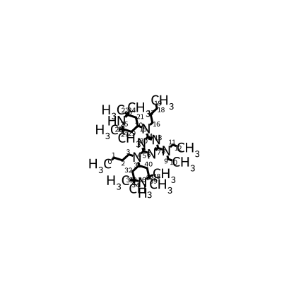 CCCCN(c1nc(N(CC)CC)nc(N(CCCC)C2CC(C)(C)NC(C)(C)C2)n1)C1CC(C)(C)NC(C)(C)C1